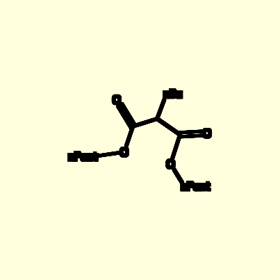 CCCCCOC(=O)C(CCCC)C(=O)OCCCCC